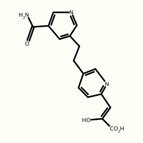 NC(=O)c1cncc(CCc2ccc(/C=C(\O)C(=O)O)nc2)c1